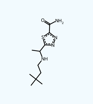 CC(NCCC(C)(C)C)c1nnc(C(N)=O)s1